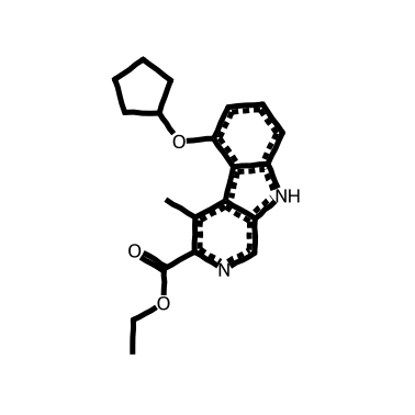 CCOC(=O)c1ncc2[nH]c3cccc(OC4CCCC4)c3c2c1C